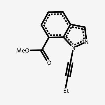 CCC#Cn1ncc2cccc(C(=O)OC)c21